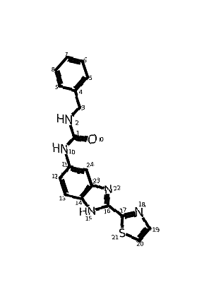 O=C(NCc1ccccc1)Nc1ccc2[nH]c(-c3nccs3)nc2c1